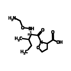 CCC(C)[C@H](BOCN)C(=O)N1OCCC1C(=O)O